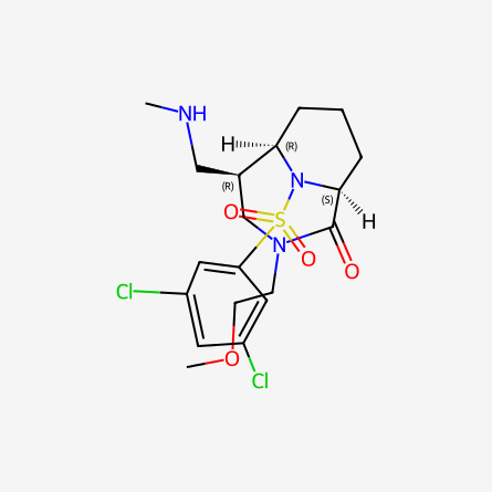 CNC[C@@H]1CN(CCOC)C(=O)[C@@H]2CCC[C@H]1N2S(=O)(=O)c1cc(Cl)cc(Cl)c1